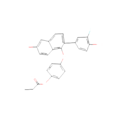 CCC(=O)Oc1ccc(Oc2c(-c3ccc(O)c(F)c3)ccc3cc(O)ccc23)cc1